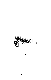 Cc1ccc(OCC(=O)N[C@H]2CC[C@](CN)(c3cccc(Cl)c3)CC2)cc1